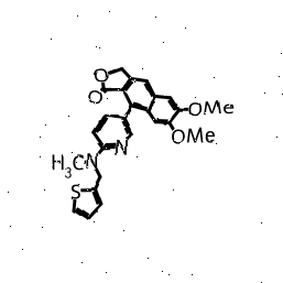 COc1cc2cc3c(c(-c4ccc(N(C)Cc5cccs5)nc4)c2cc1OC)C(=O)OC3